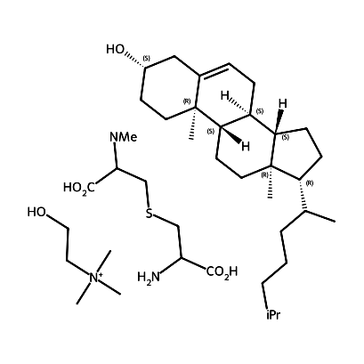 CC(C)CCCC(C)[C@H]1CC[C@H]2[C@@H]3CC=C4C[C@@H](O)CC[C@]4(C)[C@H]3CC[C@]12C.CNC(CSCC(N)C(=O)O)C(=O)O.C[N+](C)(C)CCO